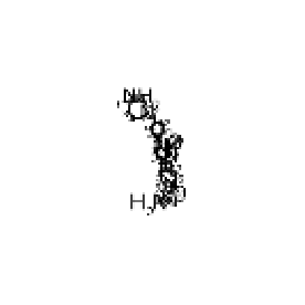 CC1(N)CCCN(Cc2ccc(-n3ccc(N4CCN(C(=O)C(C)(C)N)CC4)nc3=O)cc2)CC1